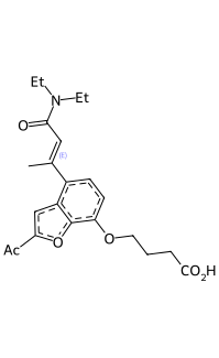 CCN(CC)C(=O)/C=C(\C)c1ccc(OCCCC(=O)O)c2oc(C(C)=O)cc12